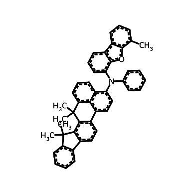 Cc1cccc2c1oc1c(N(c3ccccc3)c3ccc4c5c(cccc35)C(C)(C)c3c-4ccc4c3C(C)(C)c3ccccc3-4)cccc12